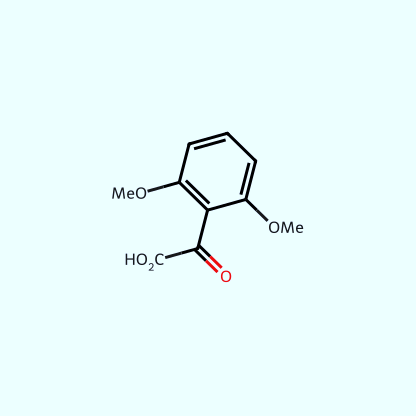 COc1cccc(OC)c1C(=O)C(=O)O